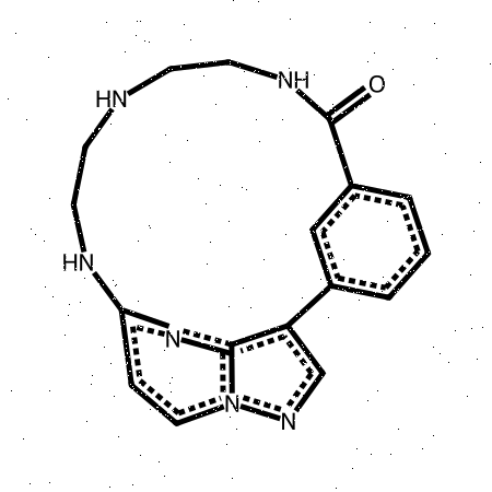 O=C1NCCNCCNc2ccn3ncc(c3n2)-c2cccc1c2